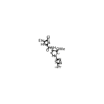 CCc1[nH]c(C(=O)N[C@@H]2CCN(c3nnc([C](C)C)s3)C[C@@H]2OC)nc1Cl